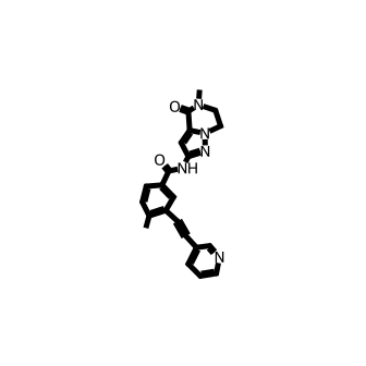 Cc1ccc(C(=O)Nc2cc3n(n2)CCN(C)C3=O)cc1C#Cc1cccnc1